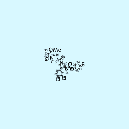 COCC1(C(=O)N2CCC(C(=O)N3C[C@@H](N(C)C(=O)Oc4ccc(F)cc4)[C@H](c4ccc(Cl)c(Cl)c4)C3)CC2)CC1